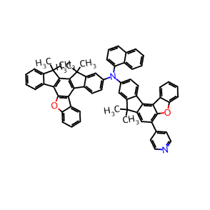 CC1(C)c2cc(N(c3ccc4c(c3)C(C)(C)c3c5c(c6oc7ccccc7c6c3-4)-c3ccccc3C5(C)C)c3cccc4ccccc34)ccc2-c2c1cc(-c1ccncc1)c1oc3ccccc3c21